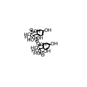 NC(c1ccc(O)cc1)(P(=O)(O)O)P(=O)(O)O.O=P(O)(O)C(O)(c1ccc(O)cc1)P(=O)(O)O